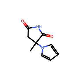 CC1(n2cccc2)CC(=O)NC1=O